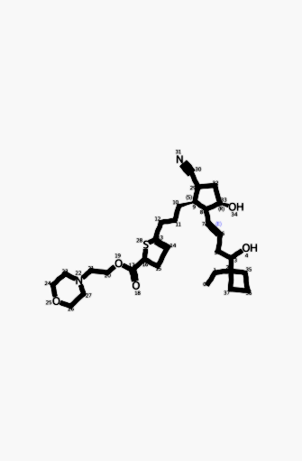 CCC1(C(O)C/C=C/C2[C@@H](CCCC3=CCC(C(=O)OCCN4CCOCC4)S3)C(C#N)C[C@H]2O)CCC1